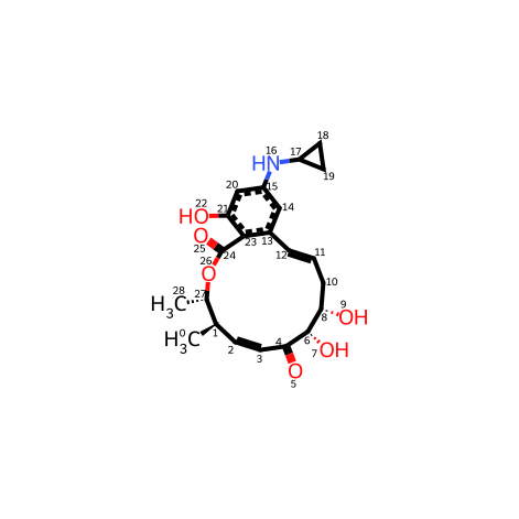 C[C@@H]1/C=C\C(=O)[C@@H](O)[C@@H](O)C/C=C/c2cc(NC3CC3)cc(O)c2C(=O)O[C@H]1C